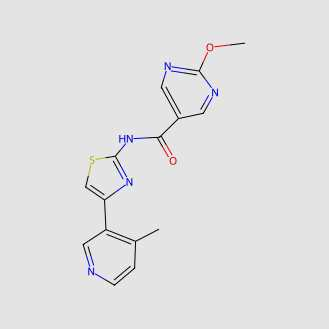 COc1ncc(C(=O)Nc2nc(-c3cnccc3C)cs2)cn1